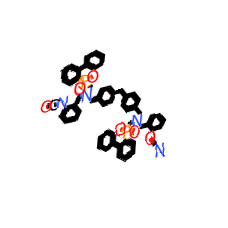 N#COc1ccccc1CN(Cc1ccc(CC2=CC=C(CN(Cc3ccccc3N=C=O)CP3(=O)OC4=C(CC=CC4)c4ccccc43)CC2)cc1)CP1(=O)OC2=C(CC=CC2)c2ccccc21